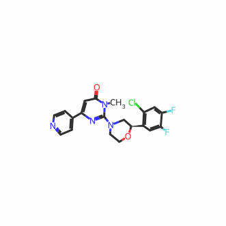 Cn1c(N2CCO[C@H](c3cc(F)c(F)cc3Cl)C2)nc(-c2ccncc2)cc1=O